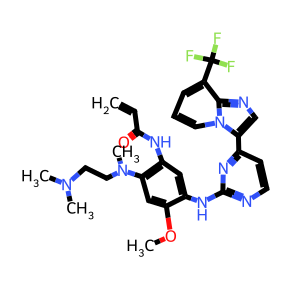 C=CC(=O)Nc1cc(Nc2nccc(-c3cnc4c(C(F)(F)F)cccn34)n2)c(OC)cc1N(C)CCN(C)C